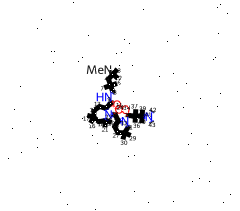 CNC(C)(C)CC(C)(C)CNC(=O)C1CCC(C)(C)CC(C)(C)N1C(=O)C1CCC(C)(C)CN1C(=O)C(C)(C)C(C)(C)N(C)C